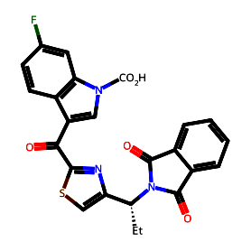 CC[C@H](c1csc(C(=O)c2cn(C(=O)O)c3cc(F)ccc23)n1)N1C(=O)c2ccccc2C1=O